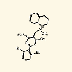 CCc1cccc(CC)c1-c1nc(C)c(CN(C)[C@H]2CCCc3ccccc32)c(C(=O)O)n1